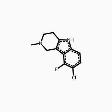 CN1CCc2[nH]c3ccc(Cl)c(F)c3c2C1